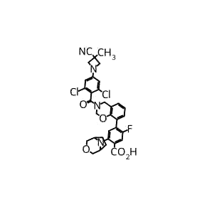 CC1(C#N)CN(c2cc(Cl)c(C(=O)N3COc4c(cccc4-c4cc(N5C6CCC5COC6)c(C(=O)O)cc4F)C3)c(Cl)c2)C1